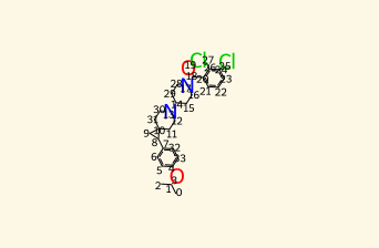 CC(C)Oc1ccc(C2CC23CCN(C2CCN(C(=O)c4cccc(Cl)c4Cl)CC2)CC3)cc1